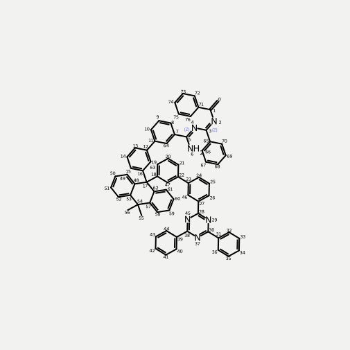 C=C(/N=C(\N=C(/N)c1cccc(-c2cccc(C3(c4cccc(-c5cccc(-c6nc(-c7ccccc7)nc(-c7ccccc7)n6)c5)c4)c4ccccc4C(C)(C)c4ccccc43)c2)c1)c1ccccc1)c1ccccc1